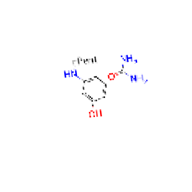 CCCCCNc1cccc(O)c1.NC(N)=O